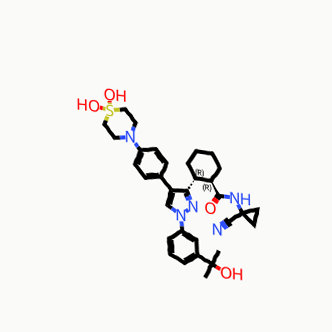 CC(C)(O)c1cccc(-n2cc(-c3ccc(N4CCS(O)(O)CC4)cc3)c([C@@H]3CCCC[C@H]3C(=O)NC3(C#N)CC3)n2)c1